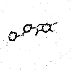 O=C1c2cc(F)c(Br)cc2CN1c1cccc(Nc2ccncc2)c1